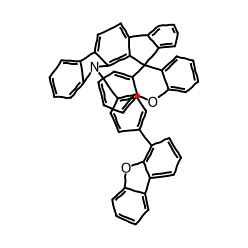 c1ccc2c(c1)Oc1ccccc1C21c2ccccc2-c2ccc3c4ccccc4n(-c4ccc(-c5cccc6c5oc5ccccc56)cc4)c3c21